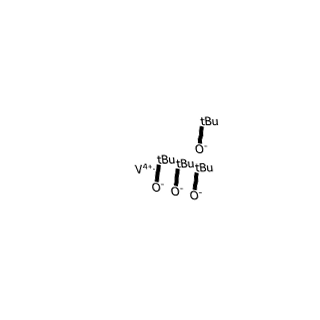 CC(C)(C)[O-].CC(C)(C)[O-].CC(C)(C)[O-].CC(C)(C)[O-].[V+4]